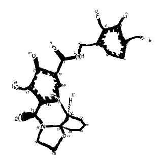 O=C(NCc1ccc(F)c(Cl)c1F)c1cn2c(c(O)c1=O)C(=O)N1CCO[C@]13CCCC[C@H]23